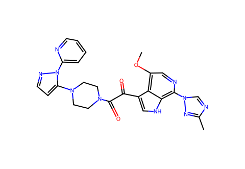 COc1cnc(-n2cnc(C)n2)c2[nH]cc(C(=O)C(=O)N3CCN(c4ccnn4-c4ccccn4)CC3)c12